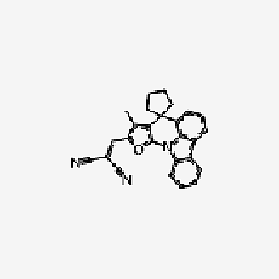 Cc1c(C=C(C#N)C#N)oc2c1C1(CCCC1)c1cccc3c4ccccc4n-2c13